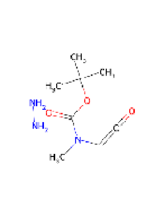 CN(C=C=O)C(=O)OC(C)(C)C.NN